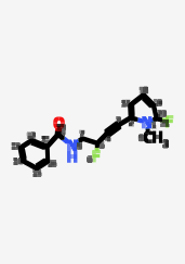 CN1C(C#CC(F)CNC(=O)c2ccccc2)=CC=CC1F